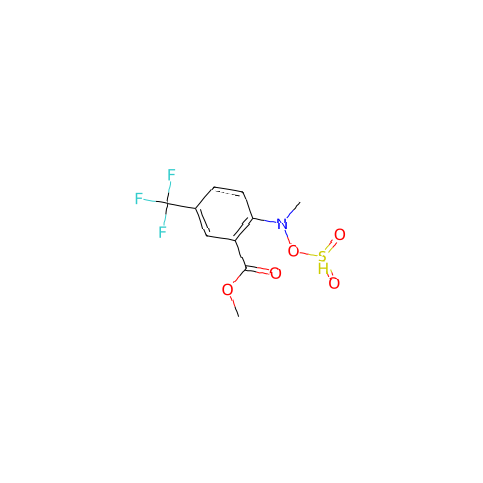 COC(=O)c1cc(C(F)(F)F)ccc1N(C)O[SH](=O)=O